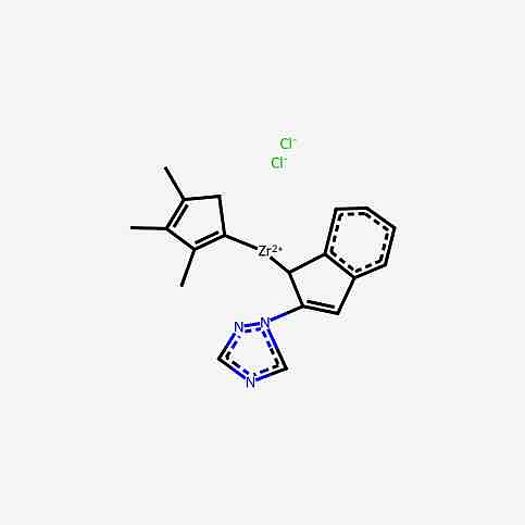 CC1=C(C)C(C)=[C]([Zr+2][CH]2C(n3cncn3)=Cc3ccccc32)C1.[Cl-].[Cl-]